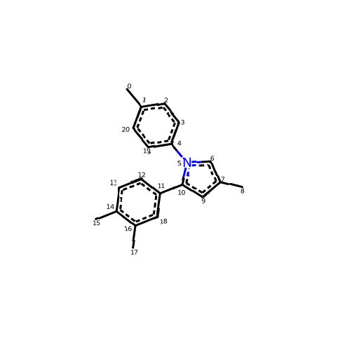 Cc1ccc(-n2cc(C)cc2-c2ccc(C)c(C)c2)cc1